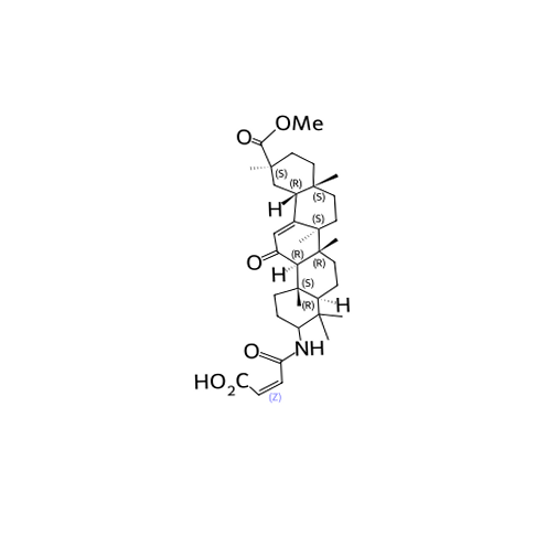 COC(=O)[C@@]1(C)CC[C@]2(C)CC[C@]3(C)C(=CC(=O)[C@@H]4[C@@]5(C)CCC(NC(=O)/C=C\C(=O)O)C(C)(C)[C@@H]5CC[C@]43C)[C@@H]2C1